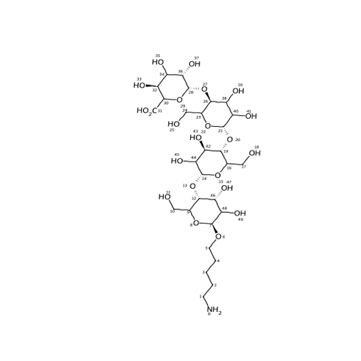 NCCCCCO[C@H]1OC(CO)[C@H](O[C@H]2OC(CO)[C@@H](O[C@@H]3OC(CO)[C@@H](O[C@@H]4OC(C(=O)O)[C@@H](O)C(O)[C@@H]4O)C(O)C3O)[C@H](O)C2O)[C@H](O)C1O